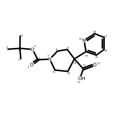 CC(C)(C)OC(=O)N1CCC(C(=O)O)(c2ccccn2)CC1